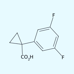 O=C(O)C1(c2cc(F)cc(F)c2)CC1